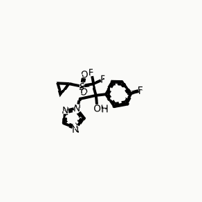 O=S(=O)(C1CC1)C(F)(F)C(O)(Cn1cncn1)c1ccc(F)cc1